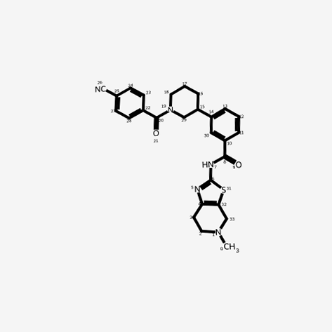 CN1CCc2nc(NC(=O)c3cccc(C4CCCN(C(=O)c5ccc(C#N)cc5)C4)c3)sc2C1